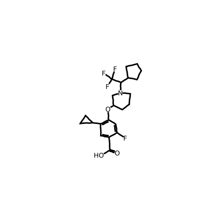 O=C(O)c1cc(C2CC2)c(OC2CCCN(C(C3CCCC3)C(F)(F)F)C2)cc1F